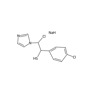 SC(c1ccc(Cl)cc1)C(Cl)n1ccnc1.[NaH]